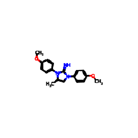 COc1ccc(N2CC(C)N(c3ccc(OC)cc3)C2=N)cc1